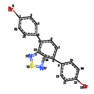 Brc1ccc(-c2ccc(-c3ccc(Br)cc3)c3nsnc23)cc1